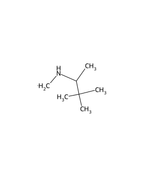 [CH2]NC(C)C(C)(C)C